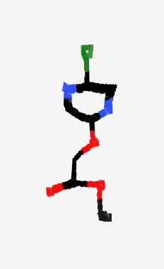 CC(C)(C)OC(=O)COc1cnc(Cl)cn1